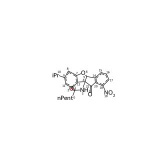 CCCCCC(=O)NC12[C](Oc3cc(C(C)C)ccc31)c1cccc([N+](=O)[O-])c1C2=O